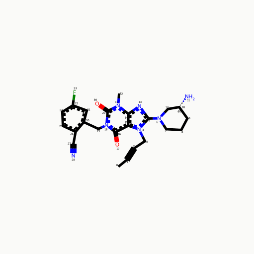 CC#CCn1c(N2CCC[C@@H](N)C2)nc2c1c(=O)n(Cc1cc(F)ccc1C#N)c(=O)n2C